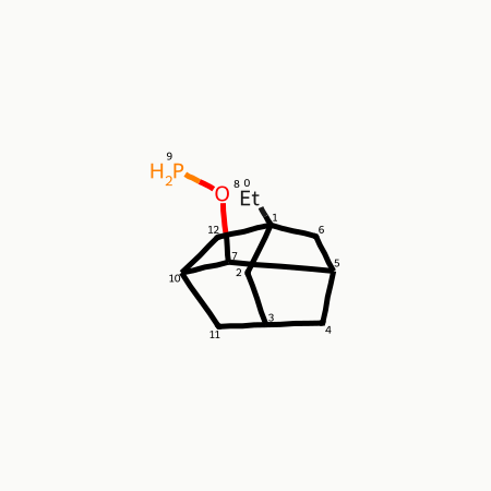 CCC12CC3CC(C1)C(OP)C(C3)C2